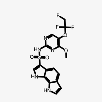 COc1nc(NS(=O)(=O)c2c[nH]c3c2ccc2cc[nH]c23)ncc1OC(F)(F)CF